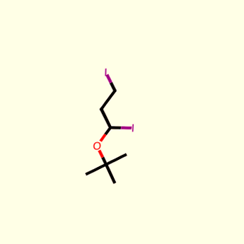 CC(C)(C)OC(I)CCI